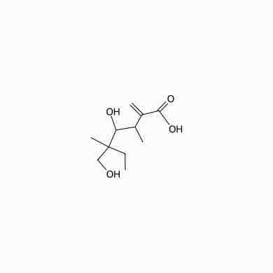 C=C(C(=O)O)C(C)C(O)C(C)(CC)CO